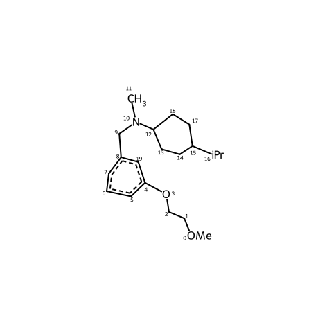 COCCOc1cccc(CN(C)C2CCC(C(C)C)CC2)c1